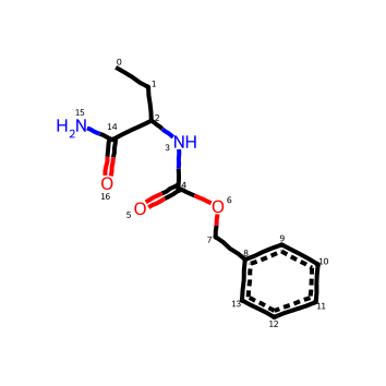 CCC(NC(=O)OCc1ccccc1)C(N)=O